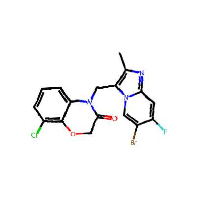 Cc1nc2cc(F)c(Br)cn2c1CN1C(=O)COc2c(Cl)cccc21